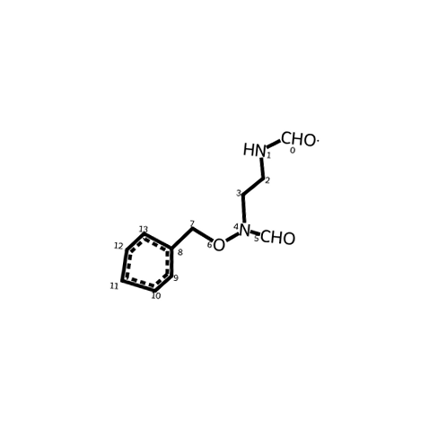 O=[C]NCCN(C=O)OCc1ccccc1